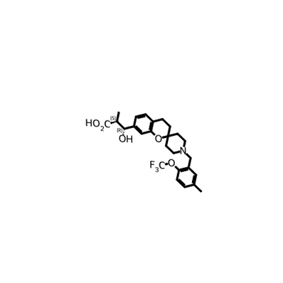 Cc1ccc(OC(F)(F)F)c(CN2CCC3(CCc4ccc([C@H](O)[C@H](C)C(=O)O)cc4O3)CC2)c1